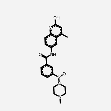 Cc1cc(O)nc2ccc(NC(=O)c3cccc([S+]([O-])N4CCN(C)CC4)c3)cc12